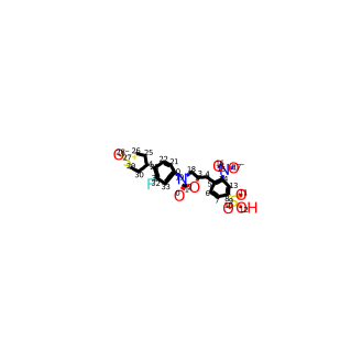 O=C1OC(Cc2ccc(S(=O)(=O)O)cc2[N+](=O)[O-])CN1c1ccc([C@H]2CC[S@+]([O-])CC2)c(F)c1